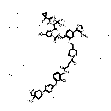 Cc1ncsc1-c1ccc(CNC(=O)[C@@H]2C[C@@H](O)CN2C(=O)[C@@H](NC(=O)C2(F)CC2)C(C)(C)C)c(OCC2CCN(C(=O)CCC(=O)Nc3cccc(Sc4cnc(N5CCC(C)(CN)CC5)cn4)c3Cl)CC2)c1